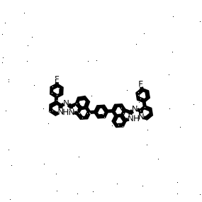 Fc1ccc(-c2cccnc2/N=C2\Nc3ccc(-c4ccc(-c5ccc6c7c(cccc57)N/C6=N\c5ncccc5-c5ccc(F)cc5)cc4)c4cccc2c34)cc1